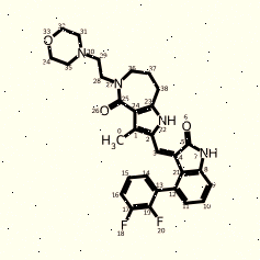 Cc1c(C=C2C(=O)Nc3cccc(-c4cccc(F)c4F)c32)[nH]c2c1C(=O)N(CCN1CCOCC1)CCC2